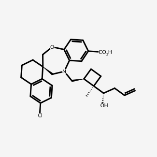 C=CC[C@H](O)[C@]1(C)CC[C@@H]1CN1C[C@@]2(CCCc3cc(Cl)ccc32)COc2ccc(C(=O)O)cc21